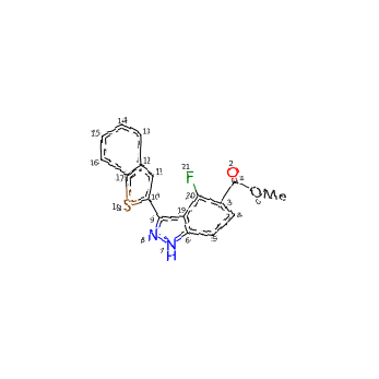 COC(=O)c1ccc2[nH]nc(-c3cc4ccccc4s3)c2c1F